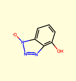 [O]n1nnc2c(O)cccc21